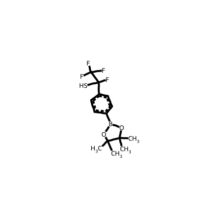 CC1(C)OB(c2ccc(C(F)(S)C(F)(F)F)cc2)OC1(C)C